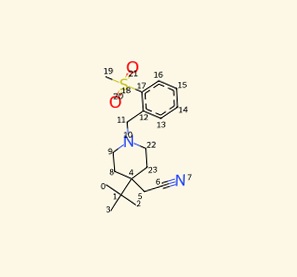 CC(C)(C)C1(CC#N)CCN(Cc2ccccc2S(C)(=O)=O)CC1